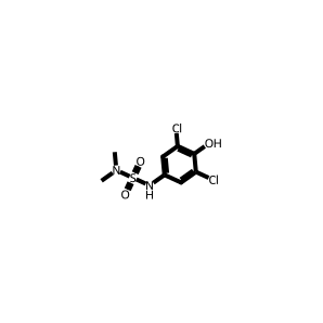 CN(C)S(=O)(=O)Nc1cc(Cl)c(O)c(Cl)c1